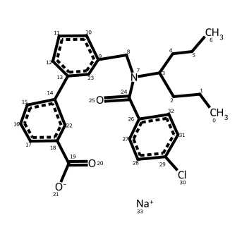 CCCC(CCC)N(Cc1cccc(-c2cccc(C(=O)[O-])c2)c1)C(=O)c1ccc(Cl)cc1.[Na+]